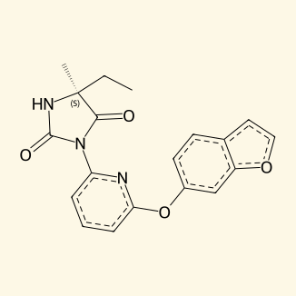 CC[C@]1(C)NC(=O)N(c2cccc(Oc3ccc4ccoc4c3)n2)C1=O